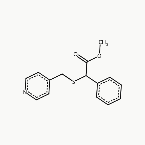 COC(=O)C(SCc1ccncc1)c1ccccc1